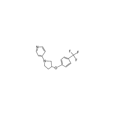 FC(F)(F)c1ccc(OC2CCN(c3ccncc3)C2)cc1